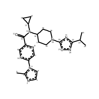 Cc1nccn1-c1cnc(C(=O)N(C2CC2)C2CCN(c3nc(C(C)C)no3)CC2)cn1